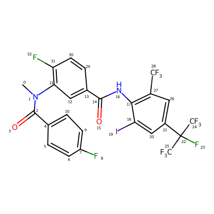 CN(C(=O)c1ccc(F)cc1)c1cc(C(=O)Nc2c(I)cc(C(F)(C(F)(F)F)C(F)(F)F)cc2C(F)(F)F)ccc1F